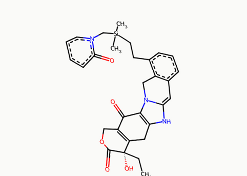 CC[C@@]1(O)C(=O)OCC2=C1CC1=C(C2=O)N2Cc3c(cccc3CC[Si](C)(C)Cn3ccccc3=O)C=C2N1